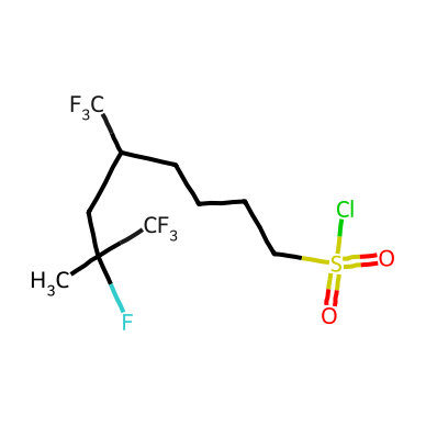 CC(F)(CC(CCCCS(=O)(=O)Cl)C(F)(F)F)C(F)(F)F